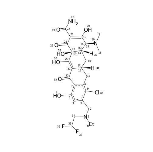 CCN(Cc1cc(O)c2c(c1Cl)C[C@H]1C[C@H]3[C@H](N(C)C)C(O)=C(C(N)=O)C(=O)[C@@]3(O)C(O)=C1C2=O)CC(F)F